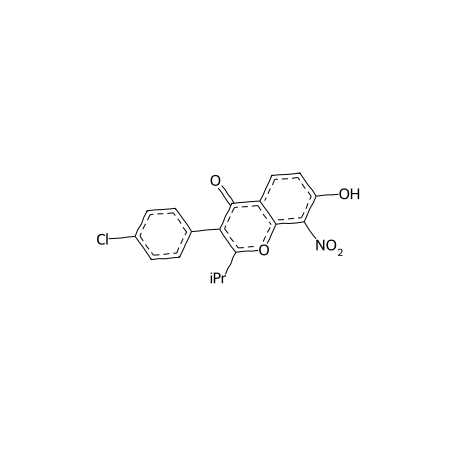 CC(C)c1oc2c([N+](=O)[O-])c(O)ccc2c(=O)c1-c1ccc(Cl)cc1